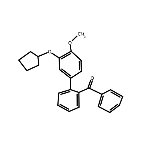 COc1ccc(-c2ccccc2C(=O)c2ccccc2)cc1OC1CCCC1